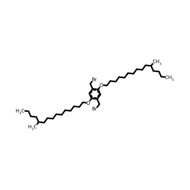 CCCCC(C)CCCCCCCCCCOc1cc(CBr)c(OCCCCCCCCCCC(C)CCCC)cc1CBr